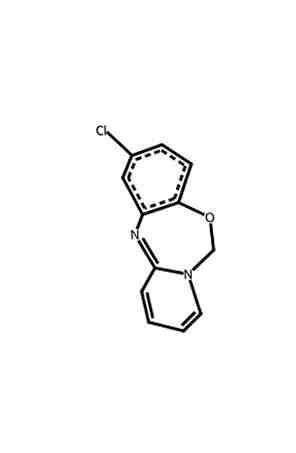 Clc1ccc2c(c1)N=C1C=CC=CN1CO2